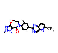 Cc1cc(-c2ncc3nc(C(F)(F)F)ccc3n2)ccc1N1CCOc2nn(C)nc2C1=O